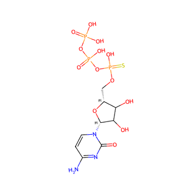 Nc1ccn([C@@H]2O[C@H](COP(O)(=S)OP(=O)(O)OP(=O)(O)O)C(O)C2O)c(=O)n1